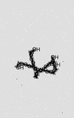 CC(O)COC(C)COCCOCCOCCN(CCOCCOCCOCC(C)OCCO)c1ccc(C(c2ccc(N(C)C)cc2)c2ccc(N(CCOCCOCC(C)OCC(C)OCCO)CCOCCOCC(C)OCC(C)OCCO)cc2)cc1